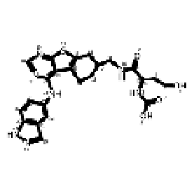 O=C(O)N[C@H](CCO)C(=O)NCC1CCc2c(sc3ncnc(Nc4ccc5[nH]ncc5c4)c23)C1